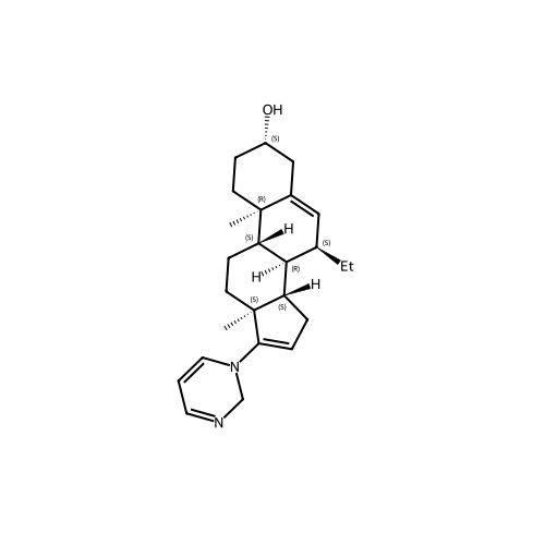 CC[C@@H]1C=C2C[C@@H](O)CC[C@]2(C)[C@H]2CC[C@]3(C)C(N4C=CC=NC4)=CC[C@H]3[C@H]12